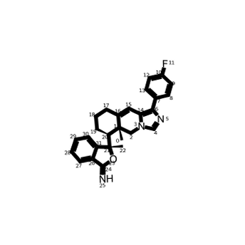 C[C@]12Cn3cnc(-c4ccc(F)cc4)c3C=C1CCC[C@@H]2[C@]1(C)OC(=N)c2ccccc21